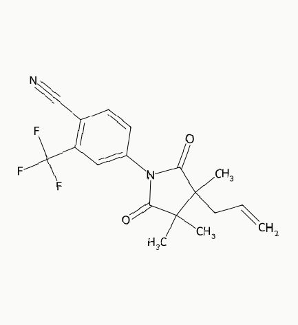 C=CCC1(C)C(=O)N(c2ccc(C#N)c(C(F)(F)F)c2)C(=O)C1(C)C